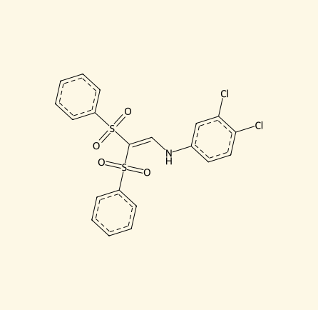 O=S(=O)(C(=CNc1ccc(Cl)c(Cl)c1)S(=O)(=O)c1ccccc1)c1ccccc1